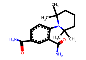 CC1(C)CCCC(C)(C)N1c1ccc(C(N)=O)cc1C(N)=O